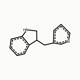 c1cncc(CC2CNc3ccccc32)c1